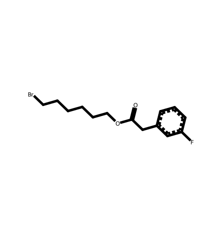 O=C(Cc1cccc(F)c1)OCCCCCCBr